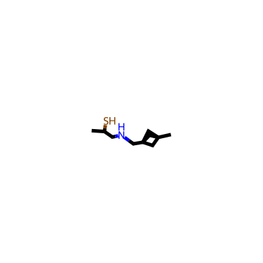 CC(S)CNCC12CC(C)(C1)C2